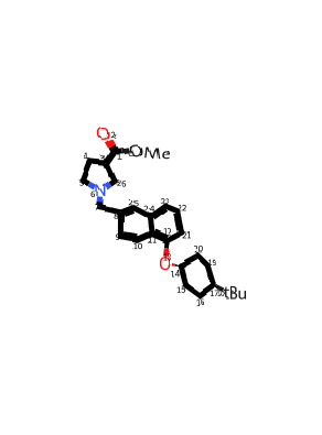 COC(=O)C1CCN(Cc2ccc3c(O[C@H]4CC[C@H](C(C)(C)C)CC4)cccc3c2)C1